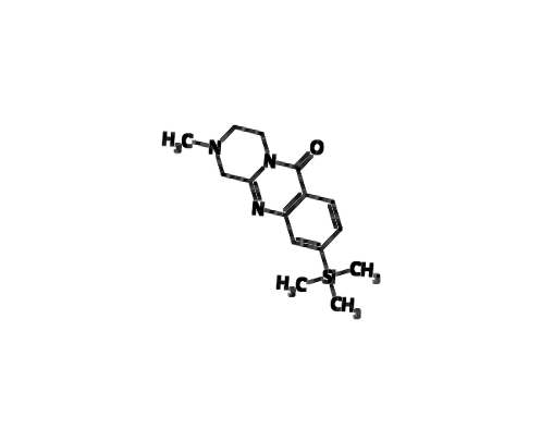 CN1CCn2c(nc3cc([Si](C)(C)C)ccc3c2=O)C1